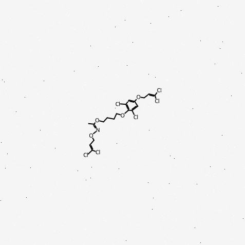 CC(=NOCC=C(Cl)Cl)OCCCCOc1c(Cl)cc(OCC=C(Cl)Cl)cc1Cl